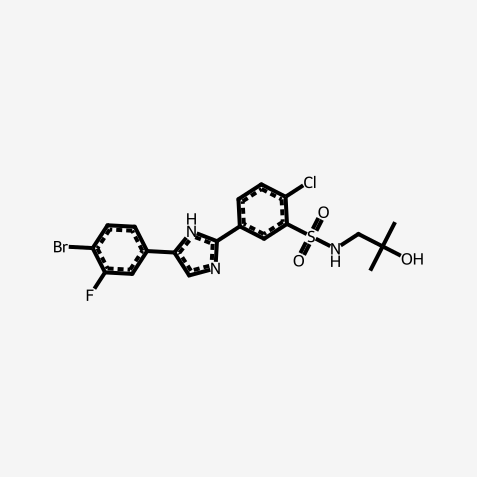 CC(C)(O)CNS(=O)(=O)c1cc(-c2ncc(-c3ccc(Br)c(F)c3)[nH]2)ccc1Cl